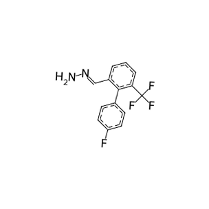 NN=Cc1cccc(C(F)(F)F)c1-c1ccc(F)cc1